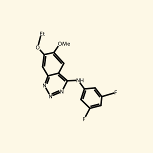 CCOc1cc2nnnc(Nc3cc(F)cc(F)c3)c2cc1OC